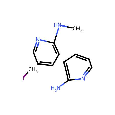 CI.CNc1ccccn1.Nc1ccccn1